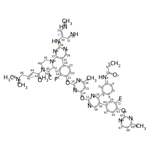 C=CC(=O)Nc1cccc(-c2nc(Oc3cc(C)nc(Oc4ccc(-c5cnc(N/C(C=N)=C/NC)nc5N5CCN(C(=O)/C=C/CN(C)C)[C@H](C)C5)cc4F)n3)ncc2-c2ccc(Oc3nccc(C)n3)c(F)c2)c1